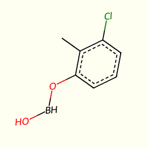 Cc1c(Cl)cccc1OBO